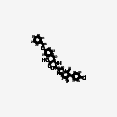 Cc1cc2nc(C(=O)NC(Cc3ccc(OCc4ccccc4)cc3)C(=O)O)cn2c(C)c1-c1ccc(Cl)cc1